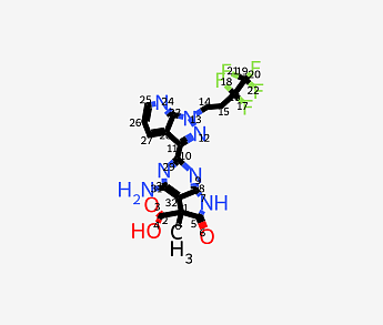 CC1(C(=O)O)C(=O)Nc2nc(-c3nn(CCC(F)(F)C(F)(F)F)c4ncccc34)nc(N)c21